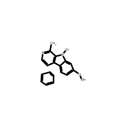 CCCOc1ccc2c3ccnc(C)c3n(CC)c2c1.c1ccccc1